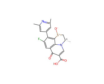 Cc1cc(-c2c(F)cc3c(=O)c(C(=O)O)cn4c3c2[S+]([O-])C[C@@H]4C)cc(C)n1